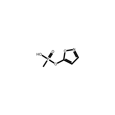 CP(=O)(O)Oc1ccno1